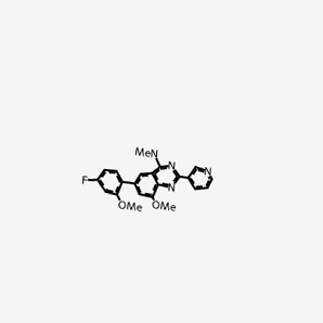 CNc1nc(-c2cccnc2)nc2c(OC)cc(-c3ccc(F)cc3OC)cc12